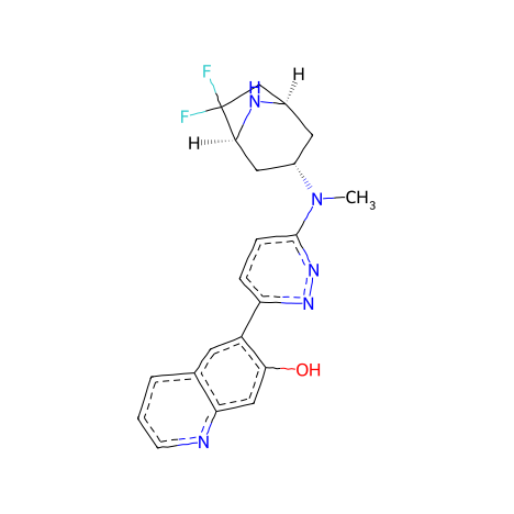 CN(c1ccc(-c2cc3cccnc3cc2O)nn1)[C@H]1C[C@@H]2CC(F)(F)[C@H](C1)N2